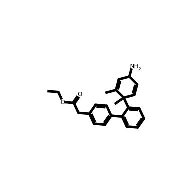 CCOC(=O)Cc1ccc(-c2ccccc2C2(C)C=CC(N)C=C2C)cc1